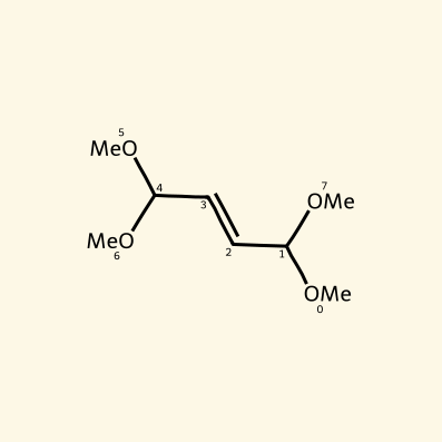 COC(/C=C/C(OC)OC)OC